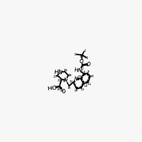 CC(C)(C)OC(=O)Nc1cccc2ccc(CN3CCNCC3C(=O)O)nc12